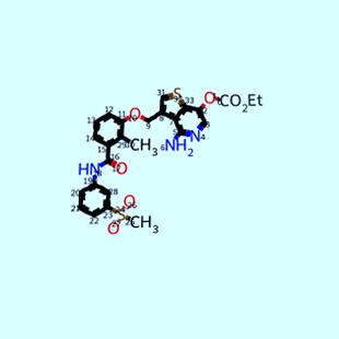 CCOC(=O)Oc1cnc(N)c2c(COc3cccc(C(=O)Nc4cccc(S(C)(=O)=O)c4)c3C)csc12